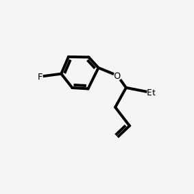 C=CCC(CC)Oc1ccc(F)cc1